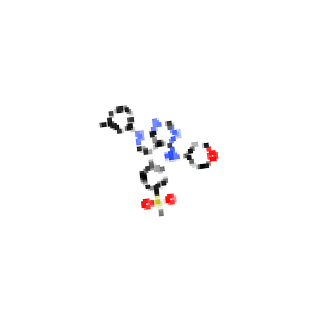 Cc1cccc(-n2cc(-c3ccc(S(C)(=O)=O)cc3)c3c(NC4CCOCC4)ncnc32)c1